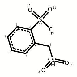 O=[SH](=O)Cc1ccccc1S(=O)(=O)Cl